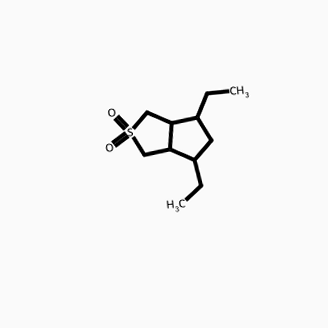 CCC1CC(CC)C2CS(=O)(=O)CC12